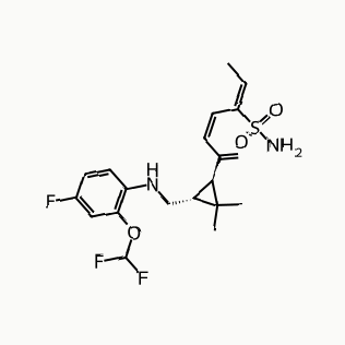 C=C(/C=C\C(=C/C)S(N)(=O)=O)[C@@H]1[C@@H](CNc2ccc(F)cc2OC(F)F)C1(C)C